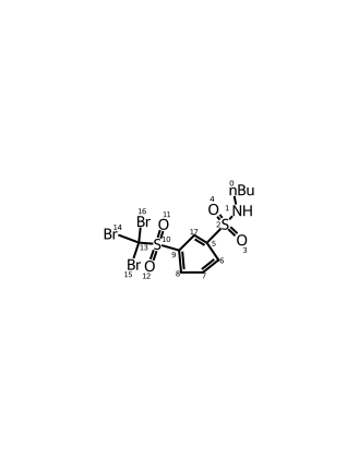 CCCCNS(=O)(=O)c1cccc(S(=O)(=O)C(Br)(Br)Br)c1